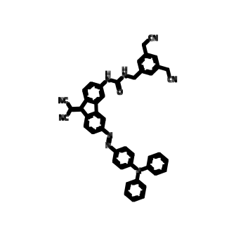 N#CCc1cc(CC#N)cc(CNC(=O)Nc2ccc3c(c2)-c2cc(/N=N/c4ccc(N(c5ccccc5)c5ccccc5)cc4)ccc2C3=C(C#N)C#N)c1